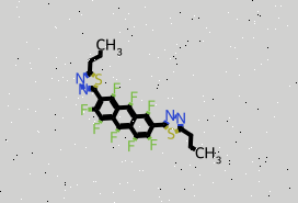 CCCc1nnc(-c2c(F)c(F)c3c(F)c4c(F)c(F)c(-c5nnc(CCC)s5)c(F)c4c(F)c3c2F)s1